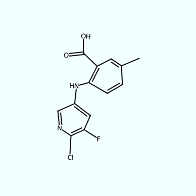 Cc1ccc(Nc2cnc(Cl)c(F)c2)c(C(=O)O)c1